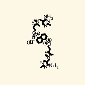 Cc1ncc(C[n+]2csc(CCOS(=O)(=O)c3cccc4c(S(=O)(=O)OCCc5sc[n+](Cc6cnc(C)nc6N)c5C)cccc34)c2C)c(N)n1.[Cl-].[Cl-]